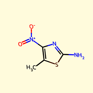 Cc1sc(N)nc1[N+](=O)[O-]